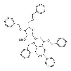 COC1C(OCC(OCc2ccccc2)C(OCc2ccccc2)C(CO)OCc2ccccc2)OC(COCc2ccccc2)C1OCc1ccccc1